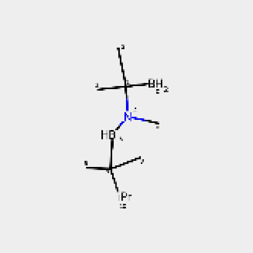 BC(C)(C)N(C)BC(C)(C)C(C)C